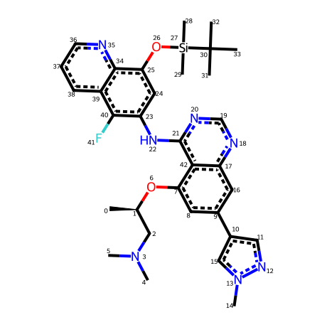 C[C@H](CN(C)C)Oc1cc(-c2cnn(C)c2)cc2ncnc(Nc3cc(O[Si](C)(C)C(C)(C)C)c4ncccc4c3F)c12